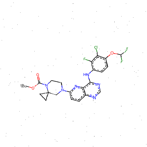 CC(C)(C)OC(=O)N1CCN(c2ccc3ncnc(Nc4ccc(OC(F)F)c(Cl)c4F)c3n2)CC12CC2